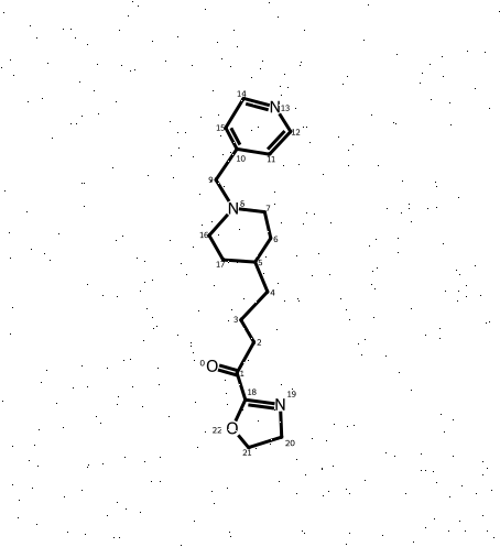 O=C(CCCC1CCN(Cc2ccncc2)CC1)C1=NCCO1